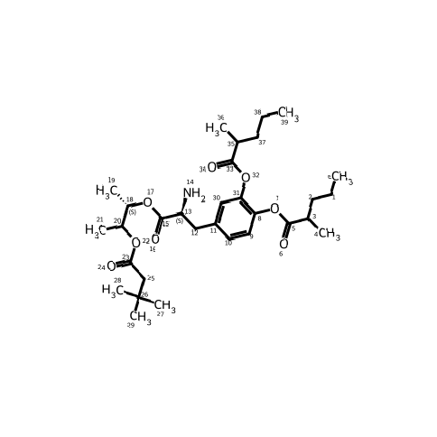 CCCC(C)C(=O)Oc1ccc(C[C@H](N)C(=O)O[C@@H](C)C(C)OC(=O)CC(C)(C)C)cc1OC(=O)C(C)CCC